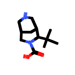 CC(C)(C)C1C2CNCC(C2)CN1C(=O)O